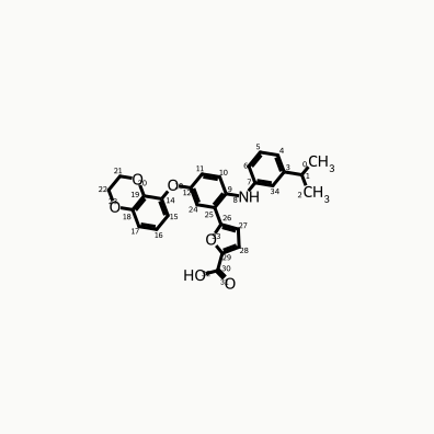 CC(C)c1cccc(Nc2ccc(Oc3cccc4c3OCCO4)cc2-c2ccc(C(=O)O)o2)c1